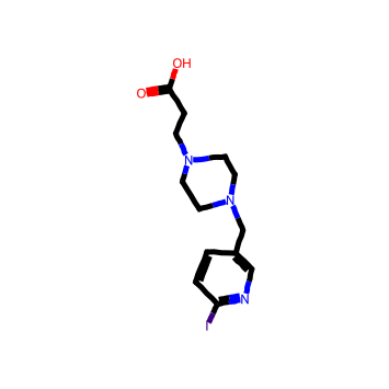 O=C(O)CCN1CCN(Cc2ccc(I)nc2)CC1